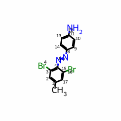 Cc1cc(Br)c(/N=N/c2ccc(N)cc2)c(Br)c1